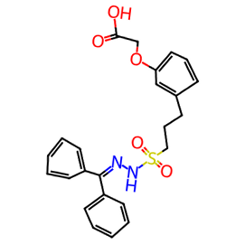 O=C(O)COc1cccc(CCCS(=O)(=O)NN=C(c2ccccc2)c2ccccc2)c1